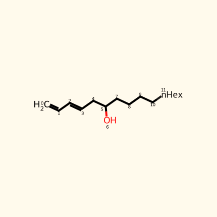 C=CC=CCC(O)CCCCCCCCCC